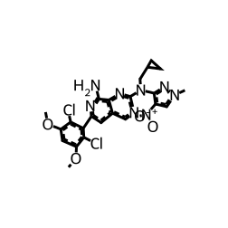 COc1cc(OC)c(Cl)c(-c2cc3cnc(N(CC4CC4)c4nn(C)cc4[N+](=O)[O-])nc3c(N)n2)c1Cl